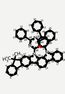 CC1(C)c2ccccc2-c2cc3c4ccc5c6ccccc6n(-c6ccc(-c7ccccc7)cc6)c5c4n(-c4nc(-c5ccccc5)nc(-c5ccccc5)n4)c3cc21